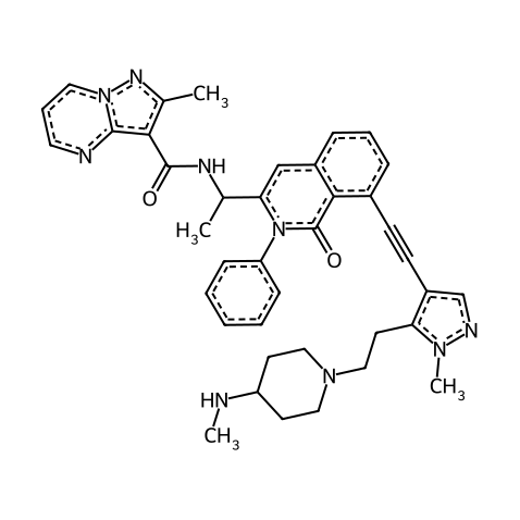 CNC1CCN(CCc2c(C#Cc3cccc4cc(C(C)NC(=O)c5c(C)nn6cccnc56)n(-c5ccccc5)c(=O)c34)cnn2C)CC1